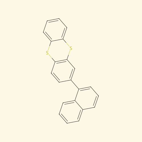 c1ccc2c(c1)Sc1ccc(-c3cccc4ccccc34)cc1S2